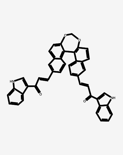 O=C(/C=C/c1ccc2c3c(ccc2c1)OCOc1ccc2cc(/C=C/C(=O)c4c[nH]c5ccccc45)ccc2c1-3)c1c[nH]c2ccccc12